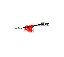 CCCCCCCCCCCCCC(=O)O[C@@H](COCOCCCCCCCCNC(C)=O)COP(=O)(O)O